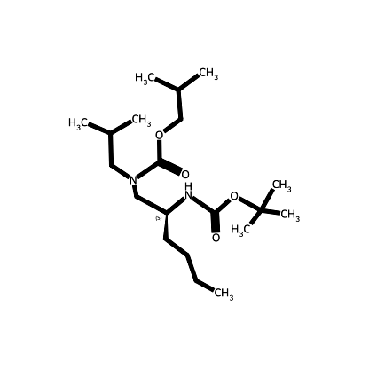 CCCC[C@@H](CN(CC(C)C)C(=O)OCC(C)C)NC(=O)OC(C)(C)C